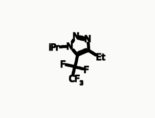 CCc1nnn(C(C)C)c1C(F)(F)C(F)(F)F